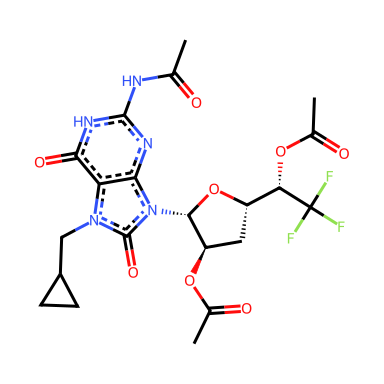 CC(=O)Nc1nc2c(c(=O)[nH]1)n(CC1CC1)c(=O)n2[C@@H]1O[C@H]([C@H](OC(C)=O)C(F)(F)F)C[C@H]1OC(C)=O